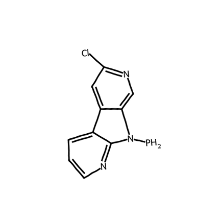 Pn1c2cnc(Cl)cc2c2cccnc21